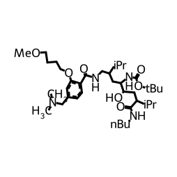 CCCCNC(=O)C(CC(O)C(CC(CNC(=O)c1ccc(CN(C)C)cc1OCCCCOC)C(C)C)NC(=O)OC(C)(C)C)C(C)C